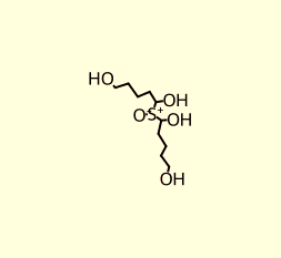 [O-][S+](C(O)CCCCO)C(O)CCCCO